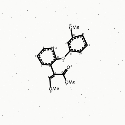 CO/C=C(\C(=O)OC)c1cccnc1Oc1cccc(OC)c1